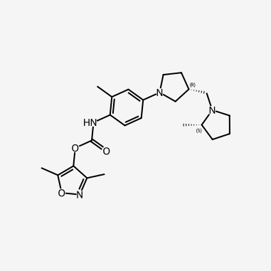 Cc1cc(N2CC[C@H](CN3CCC[C@@H]3C)C2)ccc1NC(=O)Oc1c(C)noc1C